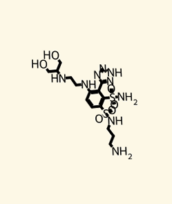 NCCCNS(=O)(=O)c1ccc(NCCNC(CO)CO)c(-c2nn[nH]n2)c1S(N)(=O)=O